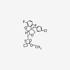 CCOC(=O)C1(SCC[C@@H]2OCC[C@@]3(Cc4ccc(Cl)cc4)c4c(F)ccc(F)c4OC[C@@H]23)CCC1